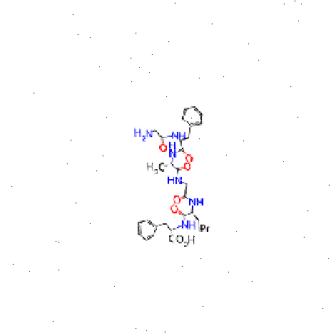 CC(C)C[C@H](NC(=O)CNC(=O)[C@H](C)NC(=O)[C@H](Cc1ccccc1)NC(=O)CN)C(=O)N[C@@H](Cc1ccccc1)C(=O)O